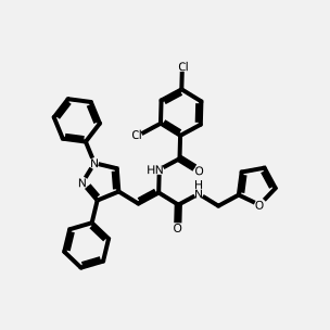 O=C(NCc1ccco1)/C(=C/c1cn(-c2ccccc2)nc1-c1ccccc1)NC(=O)c1ccc(Cl)cc1Cl